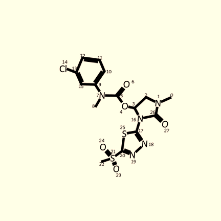 CN1CC(OC(=O)N(C)c2cccc(Cl)c2)N(c2nnc(S(C)(=O)=O)s2)C1=O